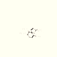 CC1=CC[C@H](C)[C@@H](C)[C@]12C=CC(C)O2